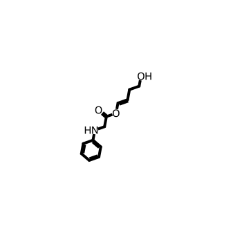 O=C(CNc1ccccc1)OC=CCCO